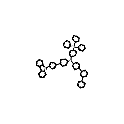 c1ccc(-c2cccc(-c3ccc(N(c4ccc(-c5ccc(-n6c7ccccc7c7ccccc76)cc5)cc4)c4ccc([Si](c5ccccc5)(c5ccccc5)c5ccccc5)cc4)cc3)c2)cc1